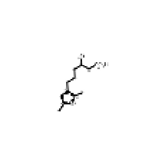 CCC(CCCc1cc(C)sc1C)CC(=O)O